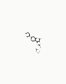 Cc1ccc(-c2ccc3c(c2)nc(N)c2nc(CN4CCCC4=O)[nH]c23)cn1